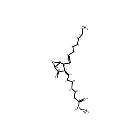 CCCCCC/C=C/C1/C(=C/CCCCCC(=O)OC)C(=O)C2OC21